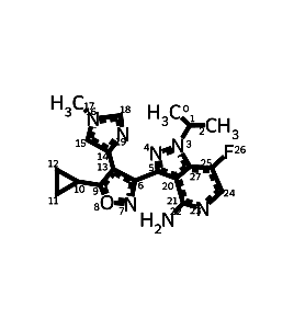 CC(C)n1nc(-c2noc(C3CC3)c2-c2cn(C)cn2)c2c(N)ncc(F)c21